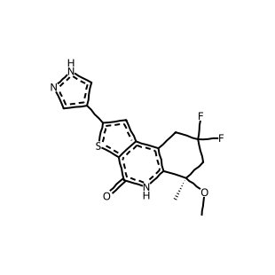 CO[C@]1(C)CC(F)(F)Cc2c1[nH]c(=O)c1sc(-c3cn[nH]c3)cc21